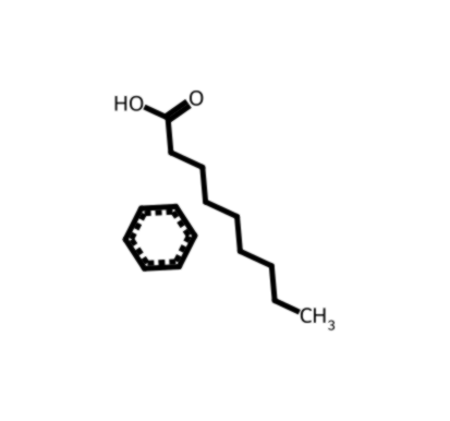 CCCCCCCCC(=O)O.c1ccccc1